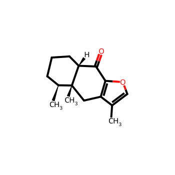 Cc1coc2c1C[C@@]1(C)[C@H](CCC[C@@H]1C)C2=O